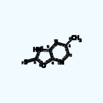 Cc1cnc2oc(=S)[nH]c2c1